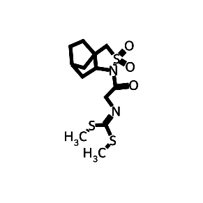 CSC(=NCC(=O)N1C2CC3CCC2(C3)CS1(=O)=O)SC